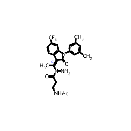 CC(=O)NCCC(=O)N(N)/C(C)=C1\C(=O)N(c2cc(C)cc(C)c2)c2cc(C(F)(F)F)ccc21